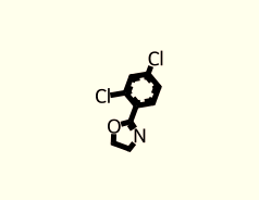 Clc1ccc(C2=NCCO2)c(Cl)c1